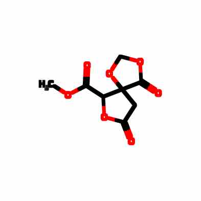 COC(=O)C1OC(=O)CC12OCOC2=O